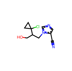 N#Cc1cncn1CC(CO)C1(Cl)CC1